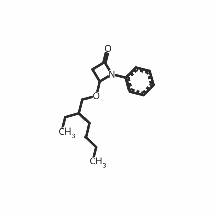 CCCCC(CC)COC1CC(=O)N1c1ccccc1